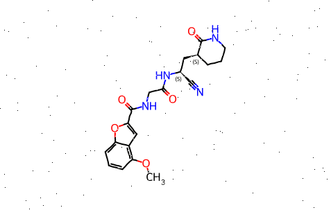 COc1cccc2oc(C(=O)NCC(=O)N[C@H](C#N)C[C@@H]3CCCNC3=O)cc12